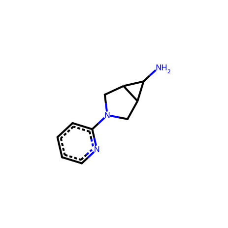 NC1C2CN(c3ccccn3)CC12